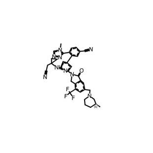 C[C@H]1CCCN(Cc2cc3c(c(C(F)(F)F)c2)CN(c2cc(-c4cc(C#N)ccc4-c4nncn4C)cc(NC4(CC#N)CC4)n2)C3=O)C1